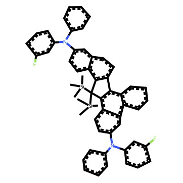 C[Si](C)(C)C1([Si](C)(C)C)c2c(ccc3cc(N(c4ccccc4)c4cccc(F)c4)ccc23)-c2c1c1ccc(N(c3ccccc3)c3cccc(F)c3)cc1c1ccccc21